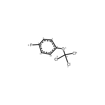 Fc1ccc(OC(Cl)(Cl)Cl)cc1